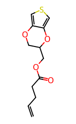 C=CCCC(=O)OCC1COc2cscc2O1